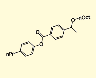 CCCCCCCCOC(C)c1ccc(C(=O)Oc2ccc(CCC)cc2)cc1